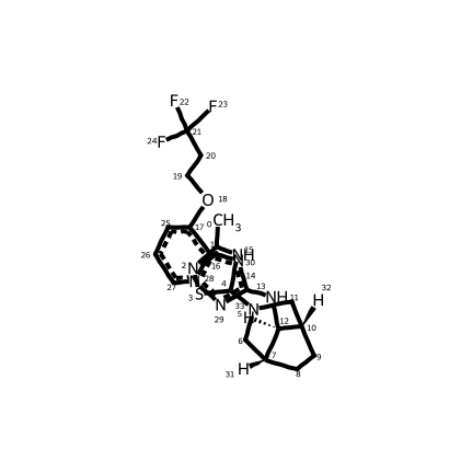 CC1=NSC(N2C[C@H]3CC[C@@H](C2)[C@@H]3Nc2nc3c(OCCC(F)(F)F)cccn3n2)N1